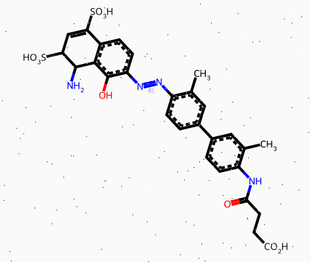 Cc1cc(-c2ccc(NC(=O)CCC(=O)O)c(C)c2)ccc1/N=N/c1ccc2c(c1O)C(N)C(S(=O)(=O)O)C=C2S(=O)(=O)O